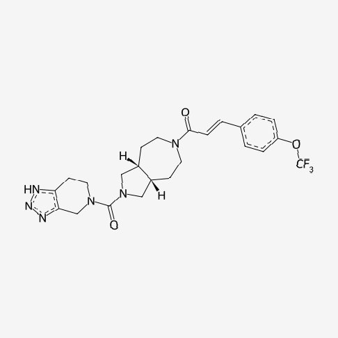 O=C(/C=C/c1ccc(OC(F)(F)F)cc1)N1CC[C@@H]2CN(C(=O)N3CCc4[nH]nnc4C3)C[C@@H]2CC1